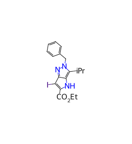 CCOC(=O)c1[nH]c2c(C(C)C)n(Cc3ccccc3)nc2c1I